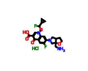 Cl.NCC12CN(c3cc4c(cc3F)c(=O)c(C(=O)O)cn4OC(F)C3CC3)CC1CCO2